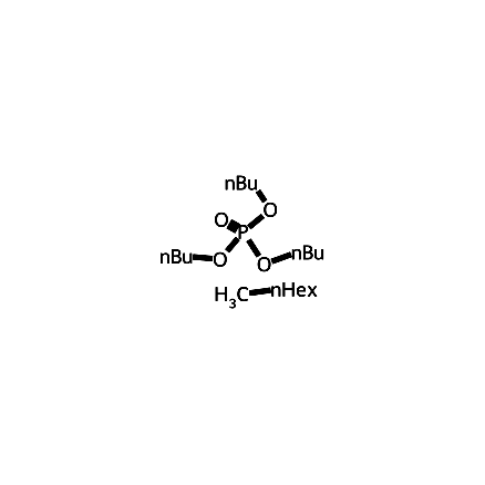 CCCCCCC.CCCCOP(=O)(OCCCC)OCCCC